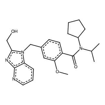 COc1cc(Cn2c(CO)nc3ncccc32)ccc1C(=O)N(C(C)C)C1CCCC1